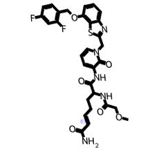 COCC(=O)NC(CC/C=C/C(N)=O)C(=O)Nc1cccn(Cc2nc3cccc(OCc4ccc(F)cc4F)c3s2)c1=O